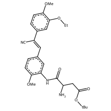 CCOc1cc(C(C#N)=Cc2ccc(OC)c(NC(=O)C(N)CC(=O)OC(C)(C)C)c2)ccc1OC